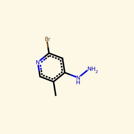 Cc1cnc(Br)cc1NN